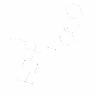 C=CC(CCC)(CCCc1ccc(F)c(Oc2ccccc2)c1)c1ccc(C(F)(F)F)cc1